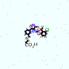 Cc1noc(-c2cccc(CSCCC(=O)O)c2)c1NC(=O)OC(C)c1ccccc1Cl